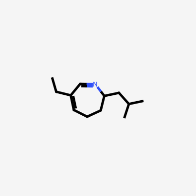 CCC1=CCCC(CC(C)C)N=C1